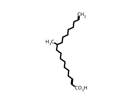 C=CCCCCCCC(C)CCCCCCCC=CC(=O)O